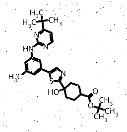 Cc1cc(Nc2nccc(C(C)(C)C)n2)cc(-c2cnc(C3(O)CCC(C(=O)OC(C)(C)C)CC3)s2)c1